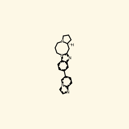 c1cn2cc(-c3ccc4c(c3)nc3n4CCCN4CCC[C@H]4C3)ccc2n1